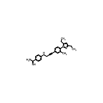 CCc1cc(CC)n(-c2ccc(C#CCNc3ccc(C(=N)N)cc3)cc2C)n1